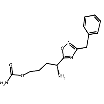 NC(=O)OCCC[C@H](N)c1nc(Cc2ccccc2)no1